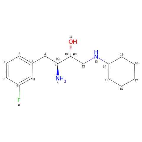 N[C@@H](Cc1cccc(F)c1)[C@H](O)CNC1CCCCC1